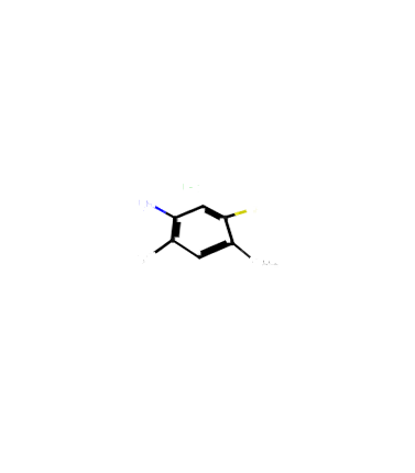 COc1cc(C)c(N)cc1S.Cl